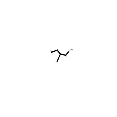 [Li][CH2]C(C)CC